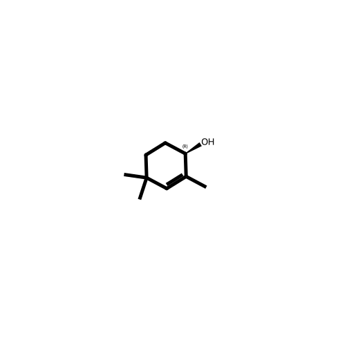 CC1=CC(C)(C)CC[C@H]1O